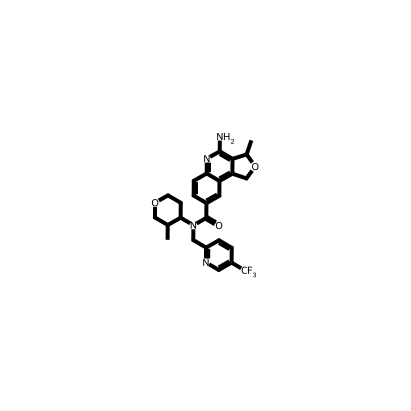 CC1OCc2c1c(N)nc1ccc(C(=O)N(Cc3ccc(C(F)(F)F)cn3)C3CCOCC3C)cc21